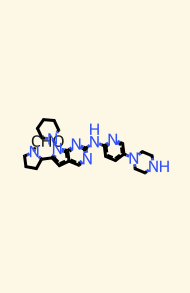 O=CN1CCCC1c1cc2cnc(Nc3ccc(N4CCNCC4)cn3)nc2n1N1CCCCC1